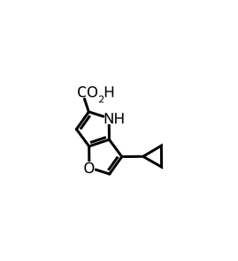 O=C(O)c1cc2occ(C3CC3)c2[nH]1